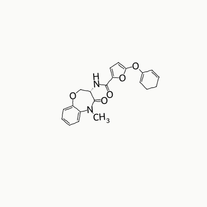 CN1C(=O)[C@@H](NC(=O)c2ccc(OC3=CCCC=C3)o2)COc2ccccc21